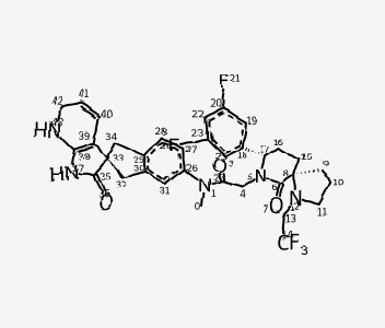 CN(C(=O)CN1C(=O)[C@@]2(CCCN2CC(F)(F)F)CC[C@H]1c1cc(F)cc(F)c1)c1ccc2c(c1)C[C@@]1(C2)C(=O)NC2=C1C=CCN2